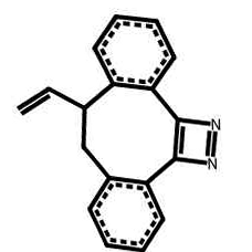 C=CC1Cc2ccccc2C2=C(N=N2)c2ccccc21